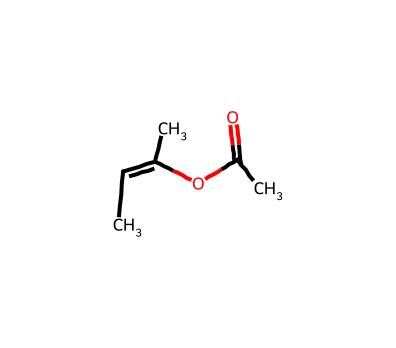 C/C=C(/C)OC(C)=O